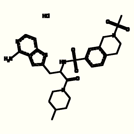 CC1CCN(C(=O)C(Cc2cc3c(N)nccc3s2)NS(=O)(=O)c2ccc3c(c2)CN(S(C)(=O)=O)CC3)CC1.Cl